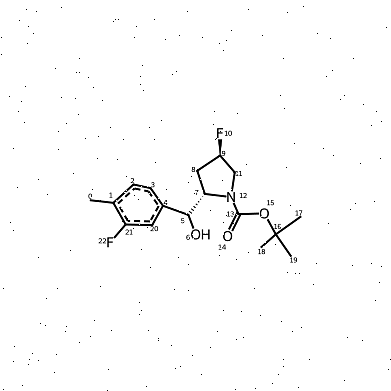 Cc1ccc(C(O)[C@@H]2C[C@@H](F)CN2C(=O)OC(C)(C)C)cc1F